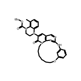 Cc1cccc2c1N(C(=O)OC(C)(C)C)CCN2c1cc2cnc3nc2n(c1=O)CCCCCCOc1cccc(c1)N3